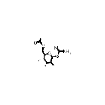 CC(=O)OCC1O[C@@H](SC(=N)N)C(C)[C@@H](C)[C@@H]1C